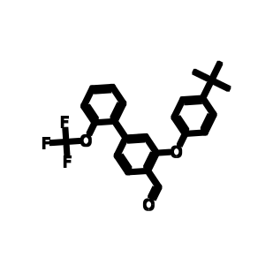 CC(C)(C)c1ccc(Oc2cc(-c3ccccc3OC(F)(F)F)ccc2C=O)cc1